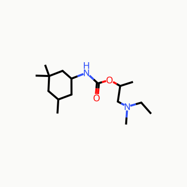 CCN(C)CC(C)OC(=O)NC1CC(C)CC(C)(C)C1